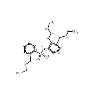 CCCCc1ccccc1P(O)(=S)Oc1cccc(CCCC)c1CCCC